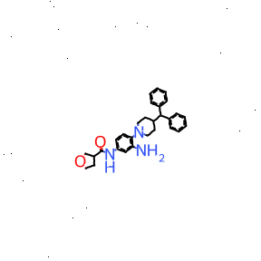 Nc1cc(NC(=O)C2CCOC2)ccc1N1CCC(C(c2ccccc2)c2ccccc2)CC1